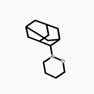 C1C[CH2][Al]([CH]2C3CC4CC(C3)CC2C4)[O]C1